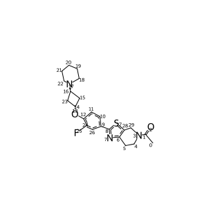 CC(=O)N1CCc2nc(-c3ccc(O[C@H]4C[C@H](N5CCCCC5)C4)c(F)c3)sc2C1